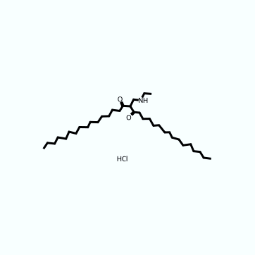 CCCCCCCCCCCCCCCC(=O)C(CNCC)C(=O)CCCCCCCCCCCCCCC.Cl